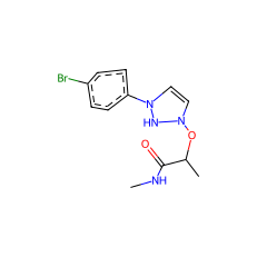 CNC(=O)C(C)ON1C=CN(c2ccc(Br)cc2)N1